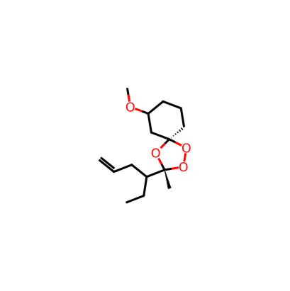 C=CCC(CC)[C@@]1(C)OO[C@@]2(CCCC(OC)C2)O1